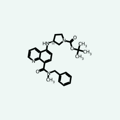 CN(Cc1ccccc1)C(=O)c1ccc(N[C@H]2CCN(C(=O)OC(C)(C)C)C2)c2cccnc12